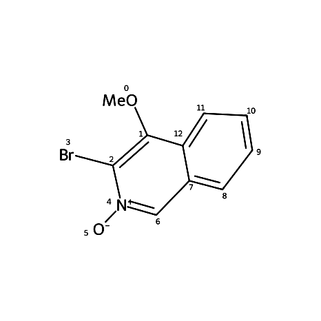 COc1c(Br)[n+]([O-])cc2ccccc12